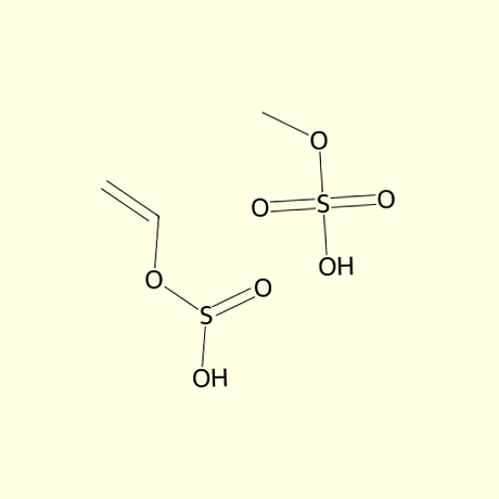 C=COS(=O)O.COS(=O)(=O)O